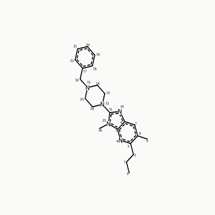 CCCc1nc2c(cc1C)nc(N1CCN(Cc3ccccc3)CC1)n2C